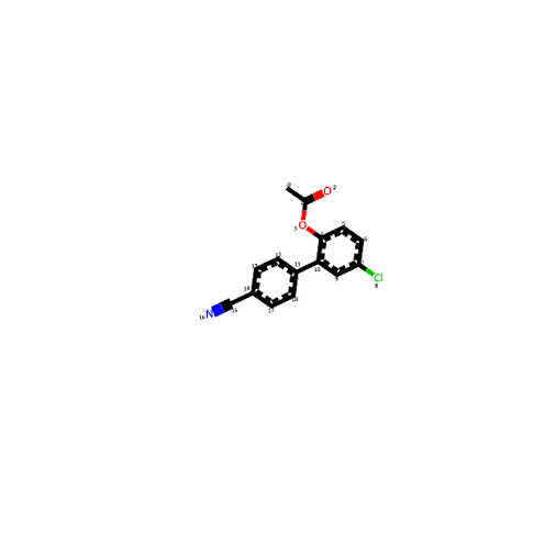 CC(=O)Oc1ccc(Cl)cc1-c1ccc(C#N)cc1